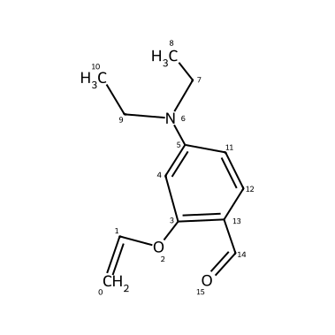 C=COc1cc(N(CC)CC)ccc1C=O